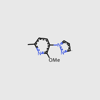 COc1nc(C)ccc1-n1cc[c]n1